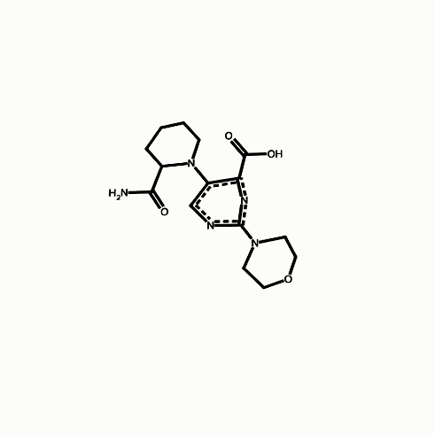 NC(=O)C1CCCCN1c1cnc(N2CCOCC2)nc1C(=O)O